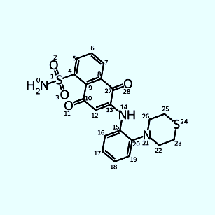 NS(=O)(=O)c1cccc2c1C(=O)C=C(Nc1ccccc1N1CCSCC1)C2=O